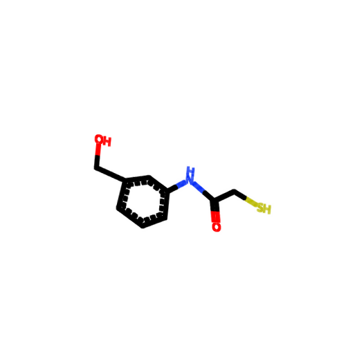 O=C(CS)Nc1cccc(CO)c1